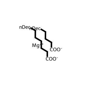 CCCCCCCCCCCCCC(=O)[O-].CCCCCCCCCCCCCCCC(=O)[O-].[Mg+2]